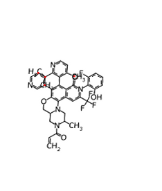 C=CC(=O)N1CC2COc3c(-c4cccnc4)c(-c4c(C)ccnc4C(C)C)c4c(=O)n(-c5c(O)cccc5F)c(C(F)(F)F)cc4c3N2CC1C